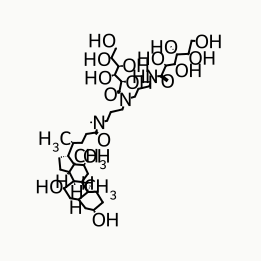 C[C@H](CCC(=O)[N]CCCN(CCCNC(=O)[C@H](O)[C@@H](O)[C@H](O)[C@H](O)CO)C(=O)[C@H](O)[C@@H](O)[C@H](O)[C@H](O)CO)[C@H]1CC[C@H]2[C@@H]3[C@H](O)C[C@@H]4C[C@H](O)CC[C@]4(C)[C@H]3C[C@H](O)[C@]12C